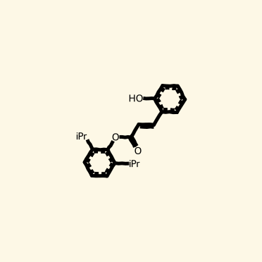 CC(C)c1cccc(C(C)C)c1OC(=O)C=Cc1ccccc1O